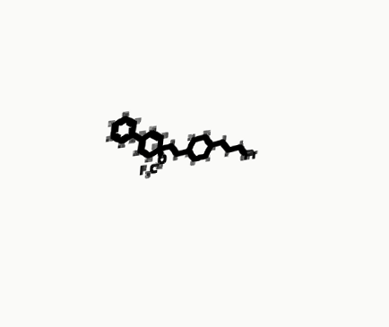 CC(C)CCCC1CCC(CCC2(OC(F)(F)F)C=CC(c3ccccc3)=CC2)CC1